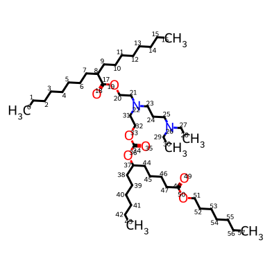 CCCCCCCCC(CCCCCCCC)C(=O)OCCN(CCCN(CC)CC)CCOC(=O)OC(CCCCCC)CCCCC(=O)OCCCCCCC